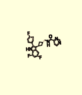 O=C(NC[C@H]1C[C@H](c2c(-c3ccc(F)cc3)[nH]c3c(F)cc(F)cc32)C1)c1ccncn1